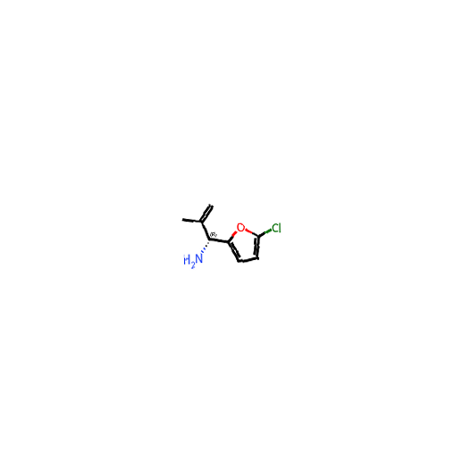 C=C(C)[C@@H](N)c1ccc(Cl)o1